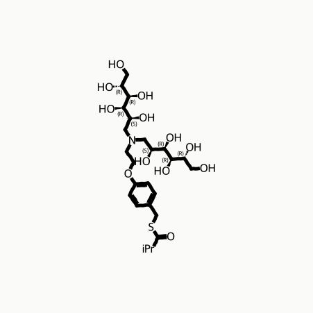 CC(C)C(=O)SCc1ccc(OCCN(C[C@H](O)[C@@H](O)[C@H](O)[C@H](O)CO)C[C@H](O)[C@@H](O)[C@H](O)[C@H](O)CO)cc1